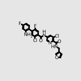 Nc1cc(F)ccc1-c1cc(Cl)c(C(=O)Nc2cnc(C(=O)NCc3ccoc3)c(Cl)c2)cc1F